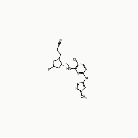 Cn1cc(Nc2ncc(Cl)c(NC[C@@H]3CC(F)CN3CCC#N)n2)cn1